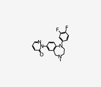 CN1CCN(c2ccc(F)c(F)c2)c2ccc(-n3ncccc3=O)cc2C1